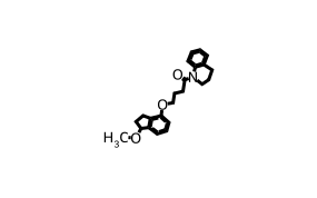 COC1CCc2c(OCCCC(=O)N3CCCc4ccccc43)cccc21